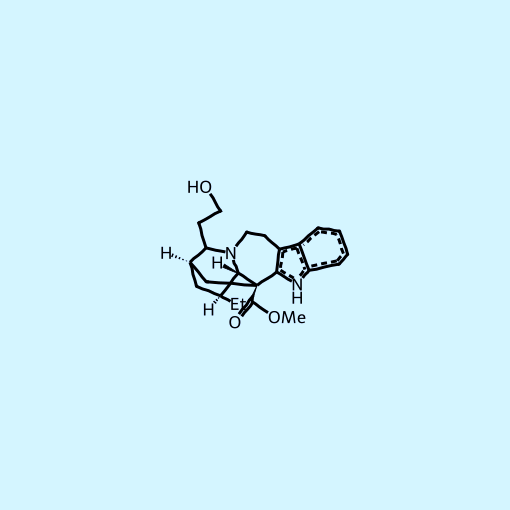 CC[C@H]1C[C@@H]2C[C@@]3(C(=O)OC)c4[nH]c5ccccc5c4CCN(C2CCO)[C@@H]13